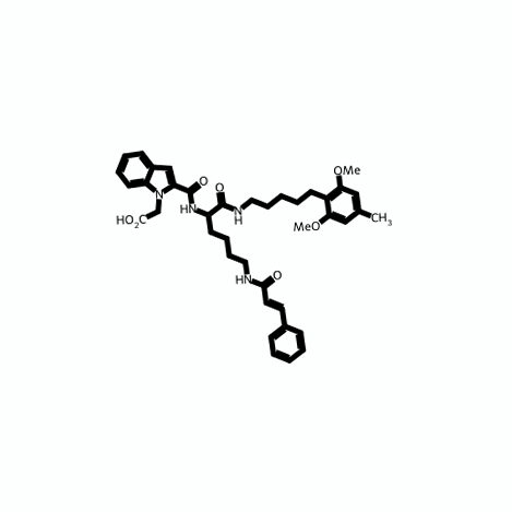 COc1cc(C)cc(OC)c1CCCCCNC(=O)C(CCCCNC(=O)/C=C/c1ccccc1)NC(=O)c1cc2ccccc2n1CC(=O)O